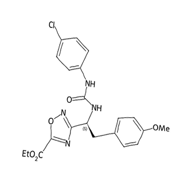 CCOC(=O)c1nc([C@H](Cc2ccc(OC)cc2)NC(=O)Nc2ccc(Cl)cc2)no1